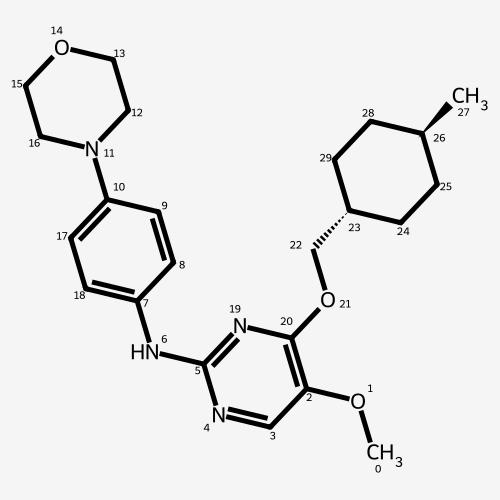 COc1cnc(Nc2ccc(N3CCOCC3)cc2)nc1OC[C@H]1CC[C@H](C)CC1